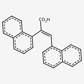 O=C(O)C(=Cc1cccc2ccccc12)c1cccc2ccccc12